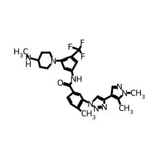 CNC1CCN(c2cc(NC(=O)c3ccc(C)c(-n4cc(-c5cnn(C)c5C)nn4)c3)cc(C(F)(F)F)c2)CC1